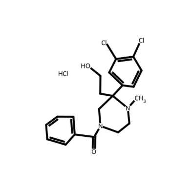 CN1CCN(C(=O)c2ccccc2)CC1(CCO)c1ccc(Cl)c(Cl)c1.Cl